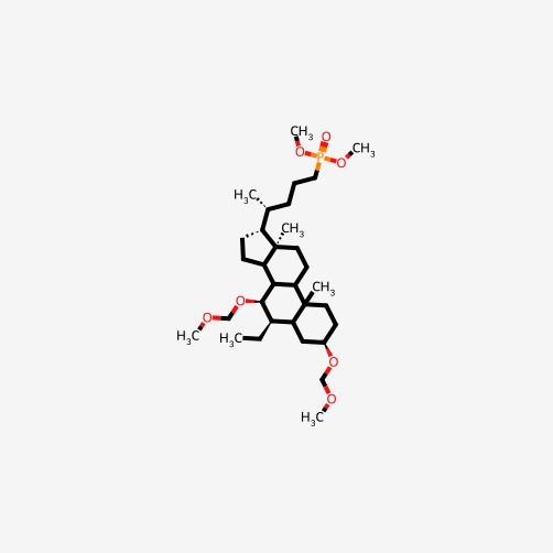 CC[C@@H]1C2C[C@H](OCOC)CCC2(C)C2CC[C@@]3(C)C(CC[C@@H]3[C@H](C)CCCP(=O)(OC)OC)C2[C@@H]1OCOC